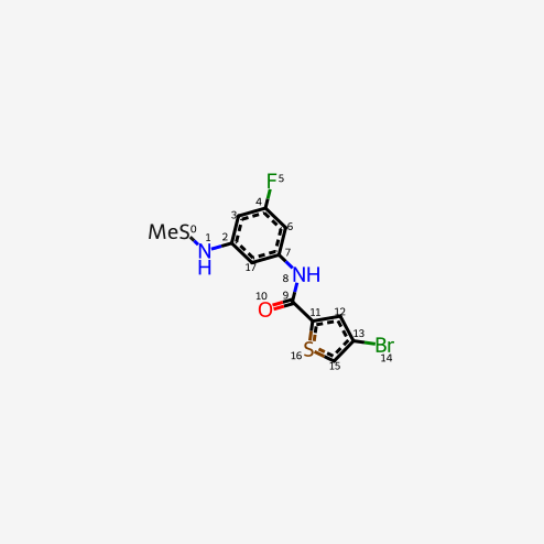 CSNc1cc(F)cc(NC(=O)c2cc(Br)cs2)c1